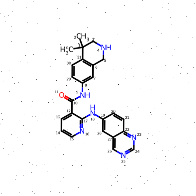 CC1(C)CNCc2cc(NC(=O)c3cccnc3Nc3ccc4ncncc4c3)ccc21